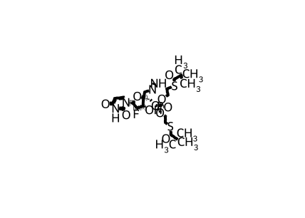 CC(C)(C)C(=O)SCCOP(=O)(OCCSC(=O)C(C)(C)C)OC[C@@]1(CN=N)O[C@@H](n2ccc(=O)[nH]c2=O)[C@H](F)[C@@H]1O